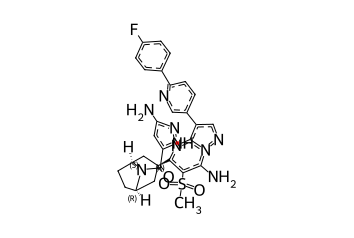 CS(=O)(=O)c1c([C@H]2C[C@H]3CC[C@@H](C2)N3C(=O)c2cc(N)n[nH]2)nc2c(-c3ccc(-c4ccc(F)cc4)nc3)cnn2c1N